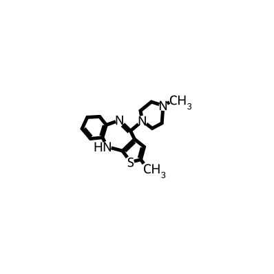 Cc1cc2c(s1)NC1=C(CCC=C1)N=C2N1CCN(C)CC1